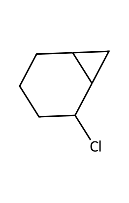 ClC1CCCC2CC12